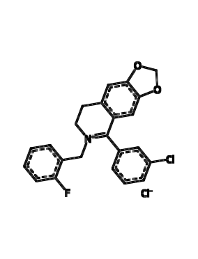 Fc1ccccc1C[N+]1=C(c2cccc(Cl)c2)c2cc3c(cc2CC1)OCO3.[Cl-]